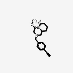 C#Cc1ccc(CN(CCOC(=O)O)CC2CCCCN2)cc1